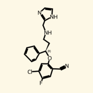 N#Cc1cc(F)c(Cl)cc1O[C@H](CCNCc1ncc[nH]1)c1ccccc1